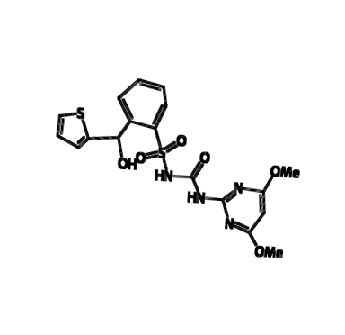 COc1cc(OC)nc(NC(=O)NS(=O)(=O)c2ccccc2C(O)c2cccs2)n1